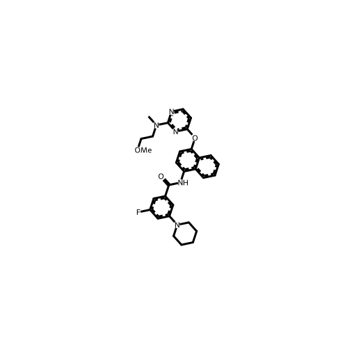 COCCN(C)c1nccc(Oc2ccc(NC(=O)c3cc(F)cc(N4CCCCC4)c3)c3ccccc23)n1